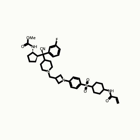 C=CC(=O)NC1CCC(S(=O)(=O)c2ccc(N3CC(CN4CCC([C@@](C#N)(c5cccc(F)c5)[C@H]5CCC[C@@H]5NC(=O)OC)CC4)C3)cc2)CC1